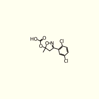 CC1(OC(=O)O)CC(c2cc(Cl)ccc2Cl)=NO1